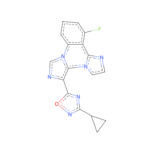 Fc1cccc2c1c1nccn1c1c(-c3nc(C4CC4)no3)ncn21